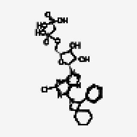 O=P(O)(O)CP(=O)(O)OC[C@H]1O[C@@H](n2cnc3c(N4CC5(CCCCC5)C4c4ccccc4)nc(Cl)nc32)[C@@H](O)C1O